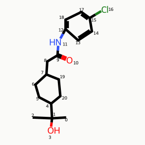 CC(C)(O)C1CCC(CC(=O)Nc2ccc(Cl)cc2)CC1